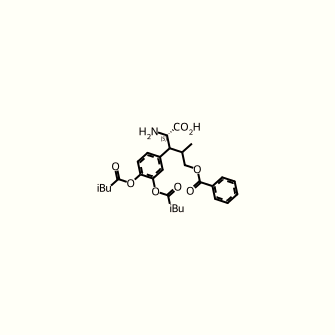 CCC(C)C(=O)Oc1ccc(C(C(C)COC(=O)c2ccccc2)[C@H](N)C(=O)O)cc1OC(=O)C(C)CC